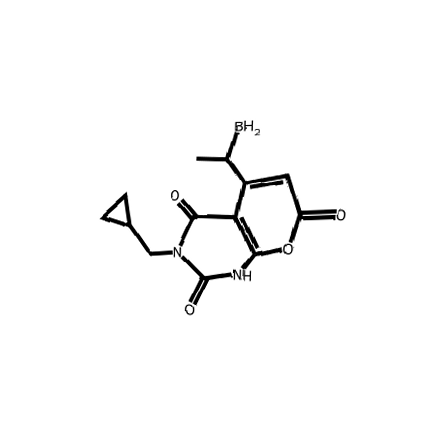 BC(C)c1cc(=O)oc2[nH]c(=O)n(CC3CC3)c(=O)c12